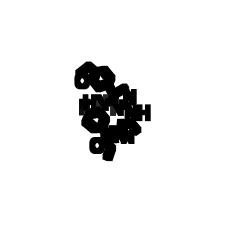 C=CC(=O)Nc1ccc(F)c(Nc2nc(Nc3cnn(C)c3)ncc2-c2ccc3c(c2)OCC3)c1